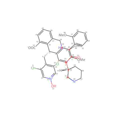 COc1ccc([C@H](Cc2c(Cl)c[n+](O)cc2Cl)c2c(CNC(C(=O)O[C@H]3CN4CCC3CC4)c3ccccc3OC)cccc2C(=O)[O-])cc1OC